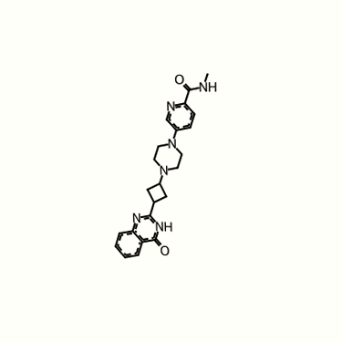 CNC(=O)c1ccc(N2CCN(C3CC(c4nc5ccccc5c(=O)[nH]4)C3)CC2)cn1